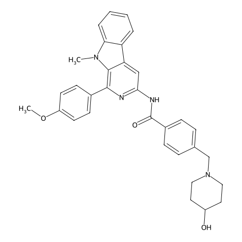 COc1ccc(-c2nc(NC(=O)c3ccc(CN4CCC(O)CC4)cc3)cc3c4ccccc4n(C)c23)cc1